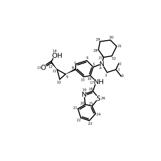 CC(C)CN(c1ccc([C@H]2C[C@H]2C(=O)O)cc1Nc1nc2ccccc2s1)C1CCCCC1